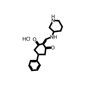 Cl.O=C1CC(c2ccccc2)CC(=O)C1=CNC1CCCNC1